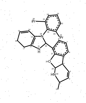 CC1C=CC2c3cccc(C4NC5=C(C=CCC5)N4c4c(C(C)C)cccc4C(C)C)c3OC2N1